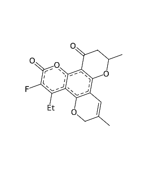 CCc1c(F)c(=O)oc2c3c(c4c(c12)OCC(C)=C4)OC(C)CC3=O